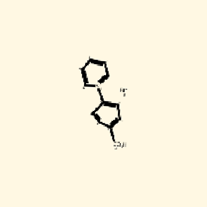 O=C(O)c1ccc(-[n+]2ccccc2)cc1.[Br-]